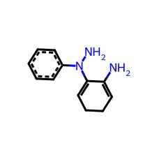 NC1=CCCC=C1N(N)c1ccccc1